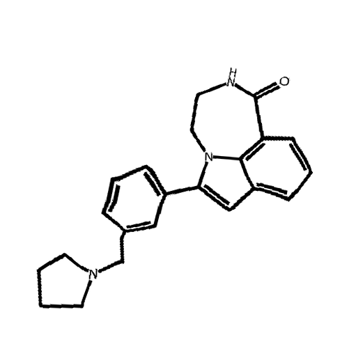 O=C1NCCn2c(-c3cccc(CN4CCCC4)c3)cc3cccc1c32